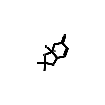 CC1(C)OC2C=CC(=O)C[C@H]2O1